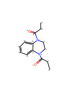 CCC(=O)N1CCN(C(=O)CC)c2ccccc21